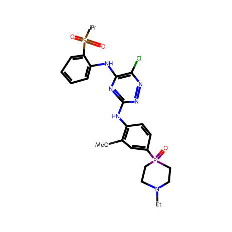 CCN1CCP(=O)(c2ccc(Nc3nnc(Cl)c(Nc4ccccc4S(=O)(=O)C(C)C)n3)c(OC)c2)CC1